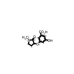 CN1CCC(Oc2cc(O)cc(C(=O)O)c2)C1=O